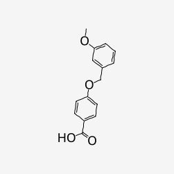 COc1cccc(COc2ccc(C(=O)O)cc2)c1